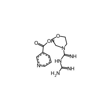 N=C(N)NC(=N)N1CCOCC1.O=C(O)c1cccnc1